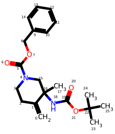 C=C1CCN(C(=O)OCc2ccccc2)CC1(C)NC(=O)OC(C)(C)C